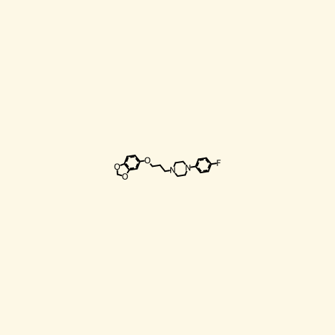 Fc1ccc(N2CCN(CCCOc3ccc4c(c3)OCO4)CC2)cc1